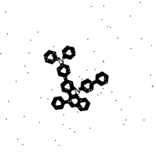 c1ccc(-c2ccc(-n3c4cc(-c5ccc(N(c6ccccc6)c6ccccc6)cc5)ccc4c4c(-c5ccccc5)cc5ccccc5c43)cc2)cc1